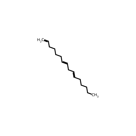 C=CCCCCC=CCC=CCCCCC